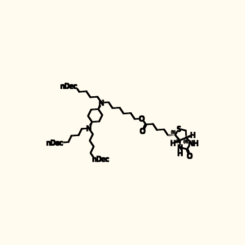 CCCCCCCCCCCCCCN(CCCCCCCCCCCCCC)[C@H]1CC[C@@H](N(CCCCCCCCCCCCCC)CCCCCCOC(=O)CCCC[C@@H]2SC[C@@H]3NC(=O)N[C@@H]32)CC1